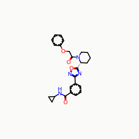 O=C(NC1CC1)c1cccc(-c2noc([C@H]3CCCCN3C(=O)COc3ccccc3)n2)c1